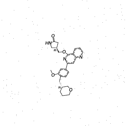 COc1cc(-c2cc3ncccc3c(OC[C@H]3CNC(=O)C3)n2)ccc1C[C@H]1CCCOC1